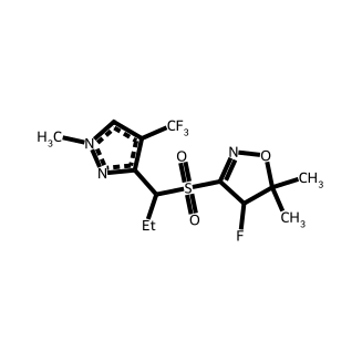 CCC(c1nn(C)cc1C(F)(F)F)S(=O)(=O)C1=NOC(C)(C)C1F